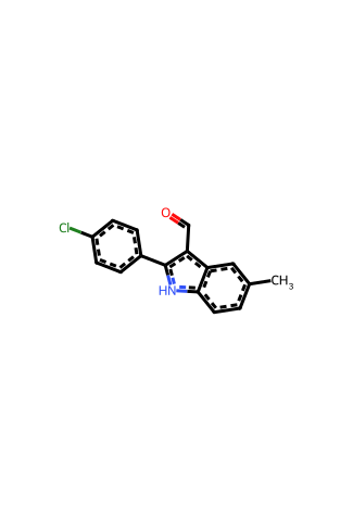 Cc1ccc2[nH]c(-c3ccc(Cl)cc3)c(C=O)c2c1